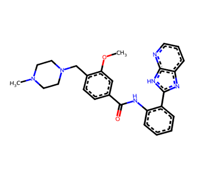 COc1cc(C(=O)Nc2ccccc2-c2nc3cccnc3[nH]2)ccc1CN1CCN(C)CC1